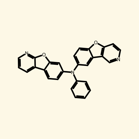 c1ccc(N(c2ccc3c(c2)oc2ncccc23)c2ccc3oc4ccncc4c3c2)cc1